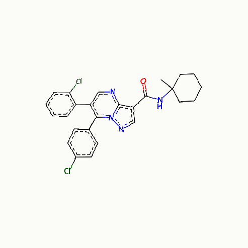 CC1(NC(=O)c2cnn3c(-c4ccc(Cl)cc4)c(-c4ccccc4Cl)cnc23)CCCCC1